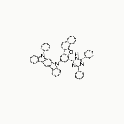 c1ccc(C2=NC(c3cc(-n4c5ccccc5c5cc6c7ccccc7n(-c7ccccc7)c6cc54)cc4c3oc3c5ccccc5ccc43)NC(c3ccccc3)=N2)cc1